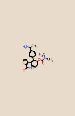 CC(N)c1ccc(-c2c(OC(=O)N(C)C)ccc3[nH]c(=O)c4sccc4c23)cc1